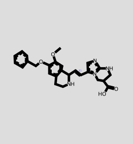 COc1cc2c(cc1OCc1ccccc1)CCNC2/C=C/c1cnc2n1CC(C(=O)O)CN2